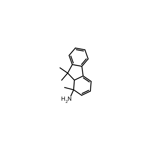 CC1(N)C=CC=C2c3ccccc3C(C)(C)C21